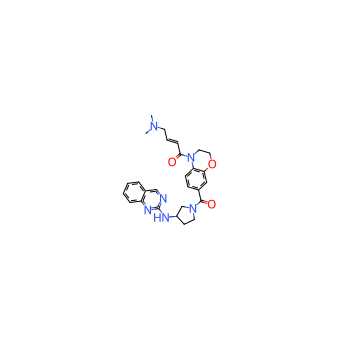 CN(C)C/C=C/C(=O)N1CCOc2cc(C(=O)N3CC[C@@H](Nc4ncc5ccccc5n4)C3)ccc21